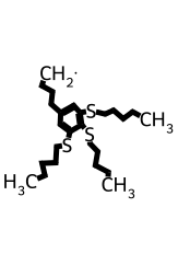 [CH2]CCCc1cc(SCCCCC)c(SCCCCC)c(SCCCCC)c1